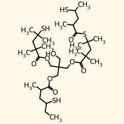 CCC(S)CC(C)C(=O)OCC(CO)(COC(=O)C(C)(C)CC(C)(C)S)COC(=O)C(C)(C)CC(C)(C)SC(=O)C(C)CC(C)S